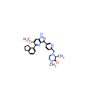 COc1cc2[nH]nc(-c3ccc(CN4CCN(C)C(=O)[C@@H]4C)nc3)c2nc1-c1cccc2c1CCC2